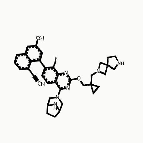 C#Cc1cccc2cc(O)cc(-c3ccc4c(N5CC6CCC(C5)N6)nc(OCC5(CN6CC7(CCNC7)C6)CC5)nc4c3F)c12